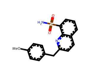 COc1ccc(Cc2ccc3cccc(S(N)(=O)=O)c3n2)cc1